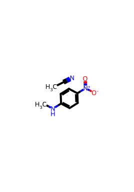 CC#N.CNc1ccc([N+](=O)[O-])cc1